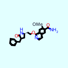 COc1cc2c(OCC[C@@H]3CC(Cc4ccccc4)C(=O)N3)nccc2cc1C(N)=O